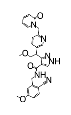 COCC(c1ccc(Cn2ccccc2=O)nc1)c1n[nH]cc1C(=O)NCc1cc(OC)ccc1C#N